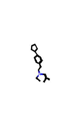 CCN(CCc1ccc(C2CCCC2)cc1)CC(C)C